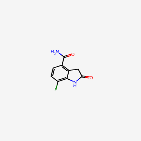 NC(=O)c1ccc(F)c2c1CC(=O)N2